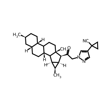 C[C@H]1CC[C@@H]2C3CC[C@@]4(C)C([C@@H]3CC[C@@H]2C1)[C@@H]1[C@H](C)[C@@H]1[C@@H]4C(=O)Cn1cc(C2(C#N)CC2)cn1